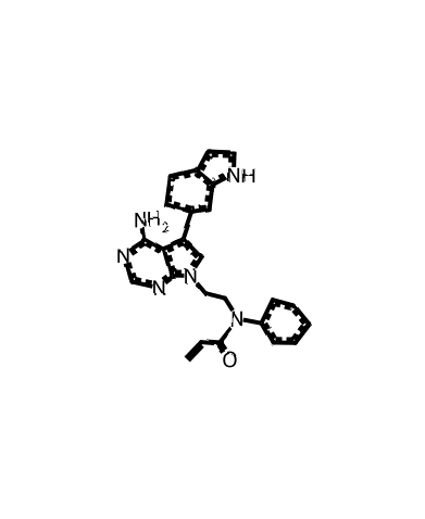 C=CC(=O)N(CCn1cc(-c2ccc3cc[nH]c3c2)c2c(N)ncnc21)c1ccccc1